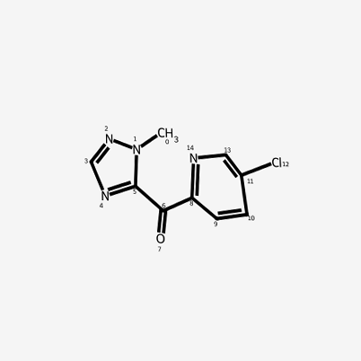 Cn1ncnc1C(=O)c1ccc(Cl)cn1